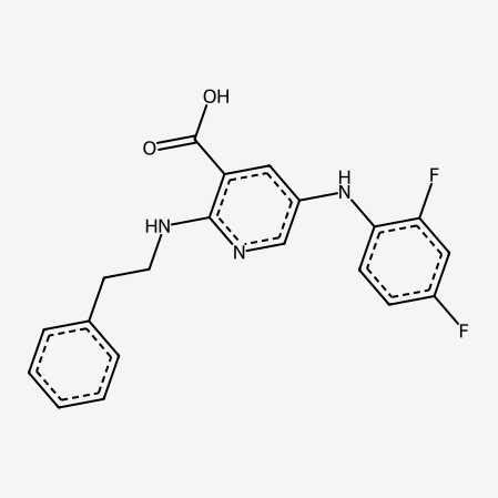 O=C(O)c1cc(Nc2ccc(F)cc2F)cnc1NCCc1ccccc1